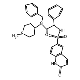 CN1CCC(N(Cc2ccccc2)C(=O)C(NS(=O)(=O)c2ccc3[nH]c(=O)ccc3c2)c2ccccc2)CC1